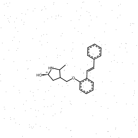 CC1N[C@H](O)CC1COc1ccccc1C=Cc1ccccc1